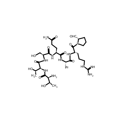 CC(C)[C@H](NC(=O)[C@H](CCC(N)=O)NC(=O)[C@H](CO)NC(=O)[C@@H](NC(=O)[C@@H](N)[C@@H](C)O)[C@@H](C)O)C(=O)N[C@@H](CCCNC(=N)N)C(=O)N1CCC[C@H]1[C]=O